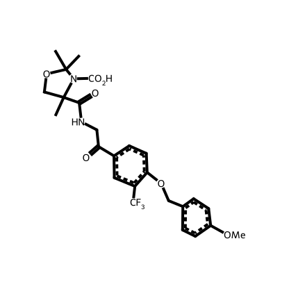 COc1ccc(COc2ccc(C(=O)CNC(=O)C3(C)COC(C)(C)N3C(=O)O)cc2C(F)(F)F)cc1